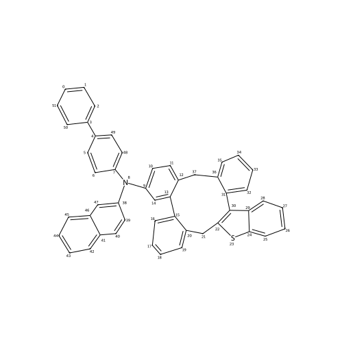 c1ccc(-c2ccc(N(c3ccc4c(c3)-c3ccccc3Cc3sc5ccccc5c3-c3ccccc3C4)c3ccc4ccccc4c3)cc2)cc1